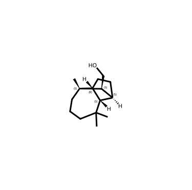 CC1(C)CCC[C@@]2(C)[C@@H]3CC[C@@H]([C@@H]31)[C@@H]2CO